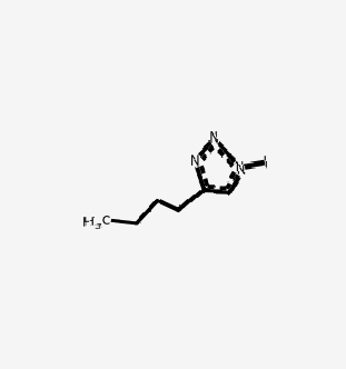 CCCCc1cn(I)nn1